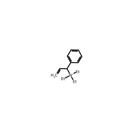 C=CC(c1ccccc1)[N+](CC)(CC)CC